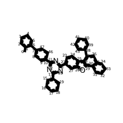 Cc1ccccc1-c1ccc(-c2nc(-c3ccccc3)nc(-c3ccc4c(c3)oc3c5ccccc5cc(-c5ccccc5)c43)n2)cc1